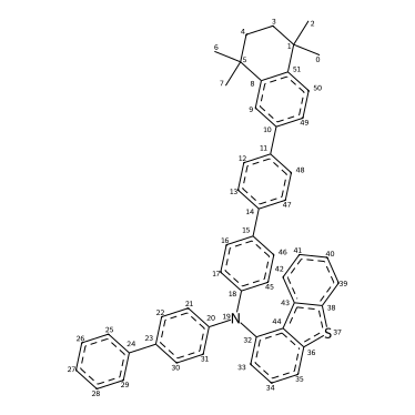 CC1(C)CCC(C)(C)c2cc(-c3ccc(-c4ccc(N(c5ccc(-c6ccccc6)cc5)c5cccc6sc7ccccc7c56)cc4)cc3)ccc21